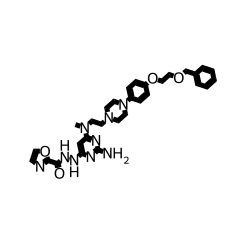 CN(CCN1CCN(c2ccc(OCCOCc3ccccc3)cc2)CC1)c1cc(NNC(=O)c2ncco2)nc(N)n1